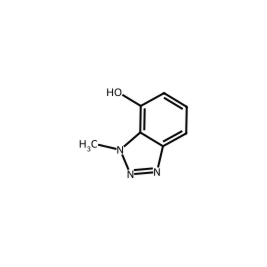 Cn1nnc2cccc(O)c21